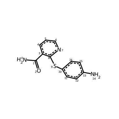 NC(=O)c1cccnc1Sc1ccc(N)cc1